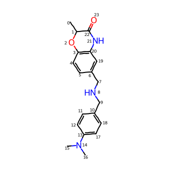 CC1Oc2ccc(CNCc3ccc(N(C)C)cc3)cc2NC1=O